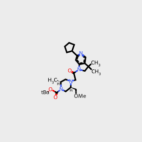 COC[C@H]1CN(C(=O)OC(C)(C)C)[C@H](C)CN1CC(=O)N1CC(C)(C)c2cnc(C3CCCC3)cc21